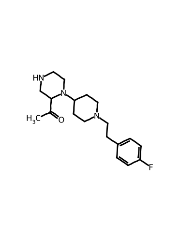 CC(=O)C1CNCCN1C1CCN(CCc2ccc(F)cc2)CC1